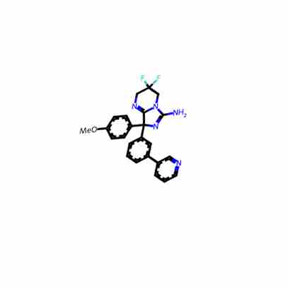 COc1ccc(C2(c3cccc(-c4cccnc4)c3)N=C(N)N3CC(F)(F)CN=C32)cc1